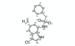 O=S(=O)(Cc1ccccc1)Nc1cccc2c(Cl)c[nH]c12.S